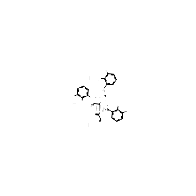 C=CC(=O)NC(CC)[Si](O[SiH2]c1cccc(C)c1C)(O[SiH2]c1cccc(C)c1C)O[SiH2]c1cccc(C)c1C